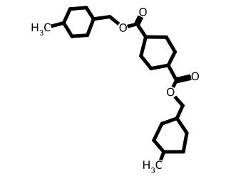 CC1CCC(COC(=O)C2CCC(C(=O)OCC3CCC(C)CC3)CC2)CC1